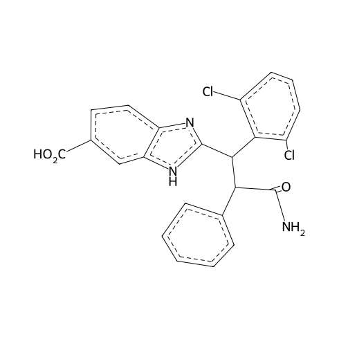 NC(=O)C(c1ccccc1)C(c1nc2ccc(C(=O)O)cc2[nH]1)c1c(Cl)cccc1Cl